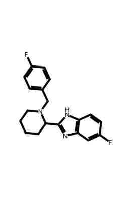 Fc1ccc(CN2CCCCC2c2nc3cc(F)ccc3[nH]2)cc1